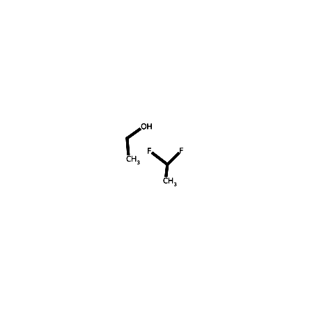 CC(F)F.CCO